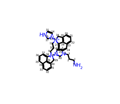 NCCCN1C=CN([N+]2(CCC[N+]3(N4C=CNC4)Cc4cccc5cccc3c45)Cc3cccc4cccc2c34)C1